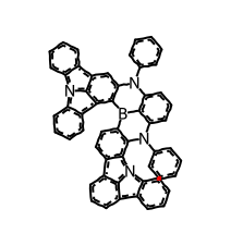 c1ccc(N2c3cccc4c3B(c3ccc5c6cccc7c8ccccc8n(c5c3N4c3ccccc3)c76)c3c2cc2c4ccccc4n4c5ccccc5c3c24)cc1